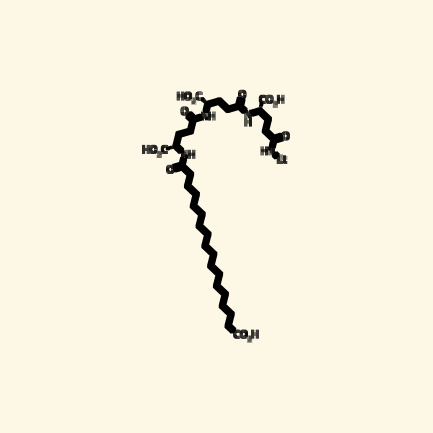 CCNC(=O)CC[C@H](NC(=O)CC[C@H](NC(=O)CC[C@H](NC(=O)CCCCCCCCCCCCCCCCC(=O)O)C(=O)O)C(=O)O)C(=O)O